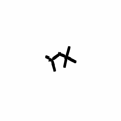 [CH3][Au]([CH3])[O][Si](C)(C)C